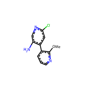 COc1ncccc1-c1cc(Cl)ncc1N